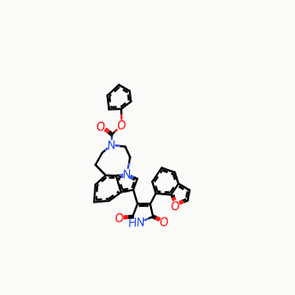 O=C1NC(=O)C(c2cccc3ccoc23)=C1c1cn2c3c(cccc13)CCN(C(=O)Oc1ccccc1)CC2